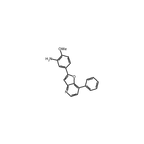 COc1ccc(-c2cc3nccc(-c4ccccc4)c3o2)cc1N